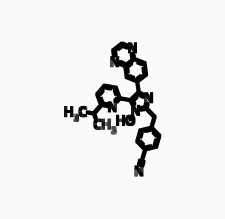 CC(C)c1cccc(-c2c(-c3ccc4nccnc4c3)nc(Cc3ccc(C#N)cc3)n2O)n1